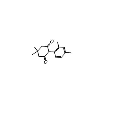 Cc1ccc(C2C(=O)CC(C)(C)CC2=O)c(C)c1